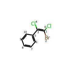 ClC(Br)=C(Cl)c1ccccc1